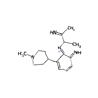 CC(=N)C(C)/N=C1\C(=N)C=CC=C1C1CCN(C)CC1